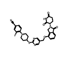 N#Cc1ccc(N2CCC(Sc3ncc(COc4cccc5c4CN([C@@H]4CCC(=O)NC4=O)C5=O)cn3)CC2)c(F)c1